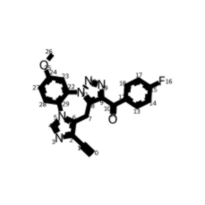 C#Cc1ncn2c1Cc1c(C(=O)c3ccc(F)cc3)nnn1-c1cc(OC)ccc1-2